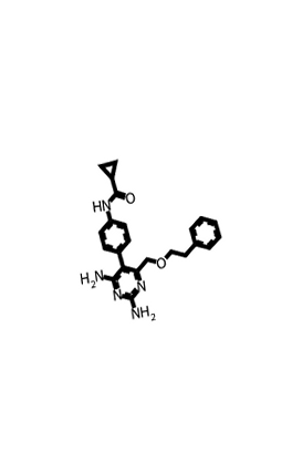 Nc1nc(N)c(-c2ccc(NC(=O)C3CC3)cc2)c(COCCc2ccccc2)n1